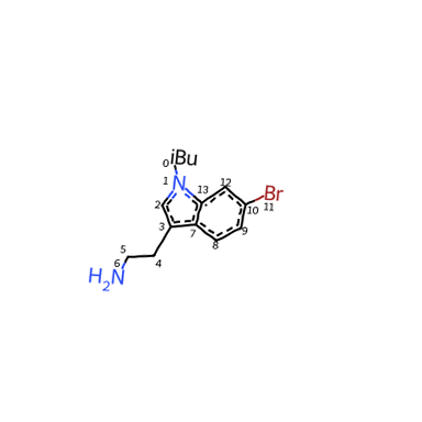 CCC(C)n1cc(CCN)c2ccc(Br)cc21